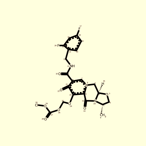 C[C@H]1CO[C@@H]2Cn3cc(C(=O)NCc4ccc(F)cc4F)c(=O)c(OCOC(=O)OCl)c3C(=O)N12